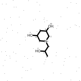 CC(O)CN1CC(O)CC(O)C1